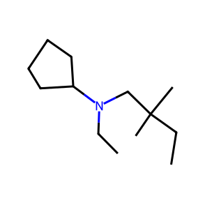 CCN(CC(C)(C)CC)C1CCCC1